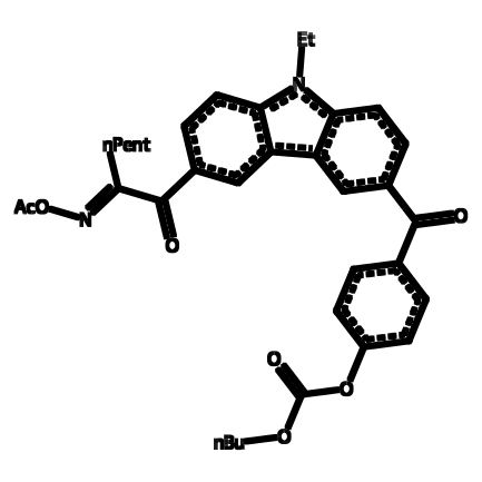 CCCCC/C(=N\OC(C)=O)C(=O)c1ccc2c(c1)c1cc(C(=O)c3ccc(OC(=O)OCCCC)cc3)ccc1n2CC